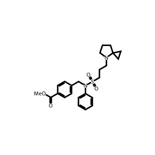 COC(=O)c1ccc(CN(c2ccccc2)S(=O)(=O)CCCN2CCCC23CC3)cc1